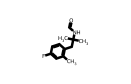 Cc1cc(F)ccc1CC(C)(C)NC=O